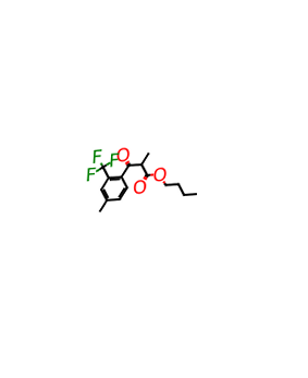 CCCCOC(=O)C(C)C(=O)c1ccc(C)cc1C(F)(F)F